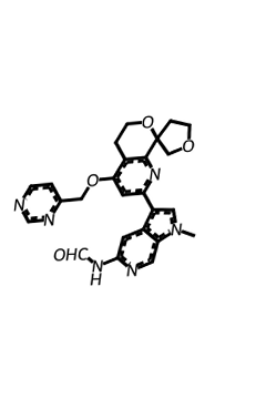 Cn1cc(-c2cc(OCc3ccncn3)c3c(n2)C2(CCOC2)OCC3)c2cc(NC=O)ncc21